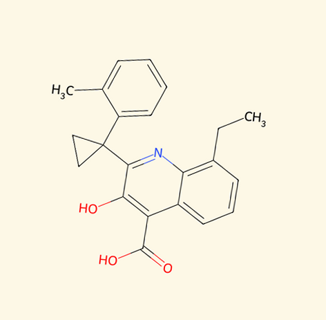 CCc1cccc2c(C(=O)O)c(O)c(C3(c4ccccc4C)CC3)nc12